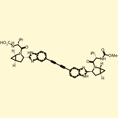 COC(=O)N[C@H](C(=O)N1[C@@H]2C[C@H]2C[C@H]1c1nc2cc(C#CC#Cc3ccc4[nH]c([C@@H]5C[C@H]6C[C@H]6N5C(=O)[C@@H](NC(=O)O)C(C)C)nc4c3)ccc2[nH]1)C(C)C